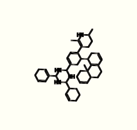 CC1=C(C2=CC=C(C3NC(C4=CCCC=C4)NC(C4C=CCCC4)N3)CC2C2CC=CC3=C2C2(C)CCC=CC2CC3)CCC(C)N1